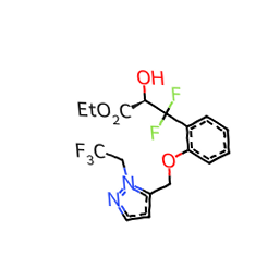 CCOC(=O)[C@@H](O)C(F)(F)c1ccccc1OCc1ccnn1CC(F)(F)F